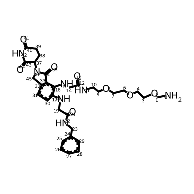 NCOCCOCCOCCNC(=O)CNc1c(NCC(=O)NCc2ccccc2)ccc2c1C(=O)N(C1CCC(=O)NC1=O)C2